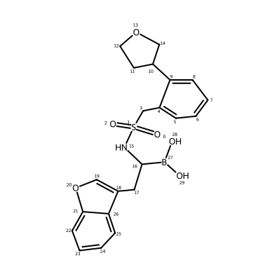 O=S(=O)(Cc1ccccc1C1CCOC1)NC(Cc1coc2ccccc12)B(O)O